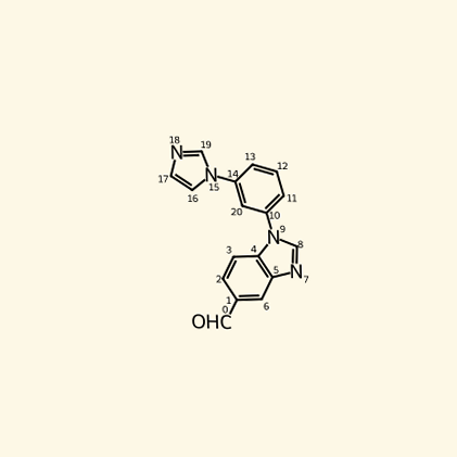 O=Cc1ccc2c(c1)ncn2-c1cccc(-n2ccnc2)c1